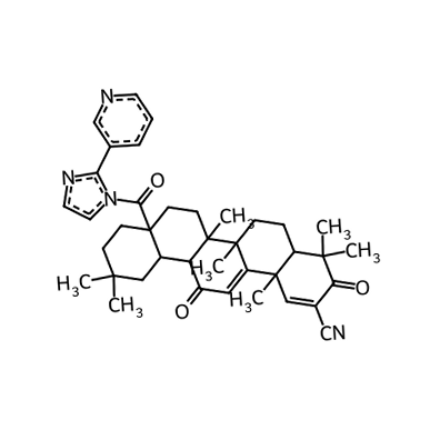 CC1(C)CCC2(C(=O)n3ccnc3-c3cccnc3)CCC3(C)C(C(=O)C=C4C5(C)C=C(C#N)C(=O)C(C)(C)C5CCC43C)C2C1